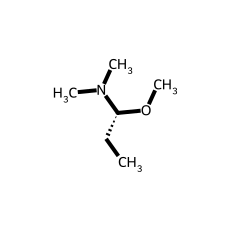 CC[C@@H](OC)N(C)C